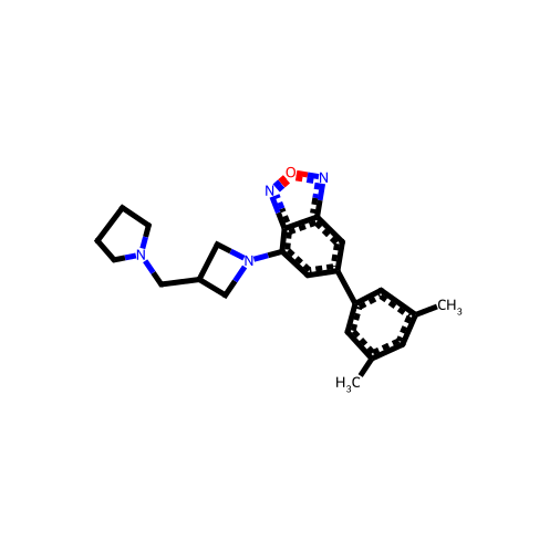 Cc1cc(C)cc(-c2cc(N3CC(CN4CCCC4)C3)c3nonc3c2)c1